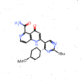 CO[C@H]1CC[C@H](c2nc(C(C)(C)C)ncc2-c2cc(=O)c3c(C(N)=O)nccc3[nH]2)CC1